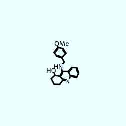 COc1ccc(CNc2c3c(nc4ccccc24)CCCC3O)cc1